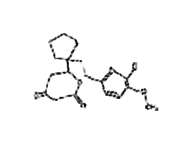 COc1ccc(CCC2(C3CC(=O)CC(=O)O3)CCCC2)cc1Cl